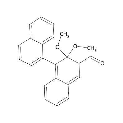 COC1(OC)C(c2cccc3ccccc23)=c2ccccc2=CC1C=O